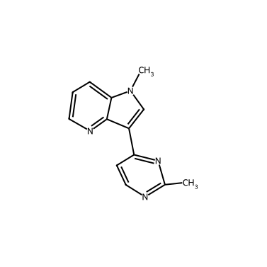 Cc1nccc(-c2cn(C)c3cccnc23)n1